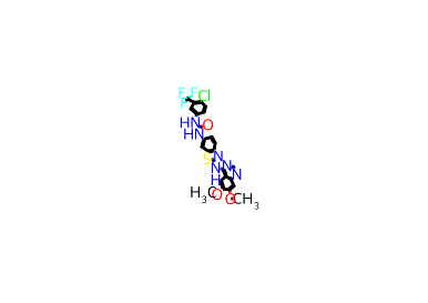 COc1cc2ncnc(Nc3nc4ccc(NC(=O)Nc5ccc(Cl)c(C(F)(F)F)c5)cc4s3)c2cc1OC